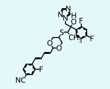 C[C@@H](SC1COC(C=CC=Cc2ccc(C#N)cc2F)OC1)[C@](O)(Cn1cncn1)c1ccc(F)cc1F